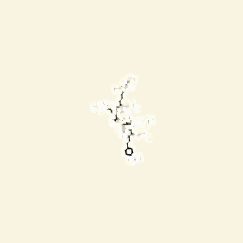 CCCC(=O)NCCCC[C@H](N)C(=O)N[C@@H](CCCN)C(=O)NCC(=O)N[C@@H](CC(=O)O)C(N)C(=O)CCc1ccc(O)cc1